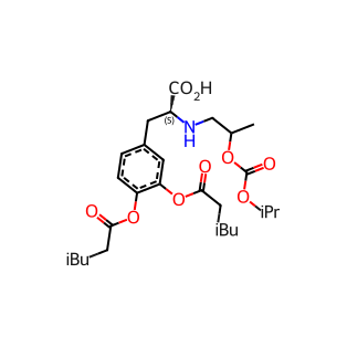 CCC(C)CC(=O)Oc1ccc(C[C@H](NCC(C)OC(=O)OC(C)C)C(=O)O)cc1OC(=O)CC(C)CC